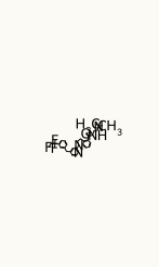 CN(C)CCNC(=O)c1cccc2c1CCN2c1cc(Cc2cccc(C(F)(F)CF)c2)ccn1